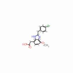 COc1ccc(CC(=O)O)c2[nH]c(Cc3ccc(Br)cc3)nc12